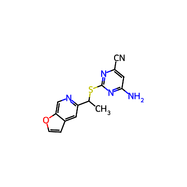 CC(Sc1nc(N)cc(C#N)n1)c1cc2ccoc2cn1